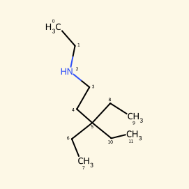 CCNCCC(CC)(CC)CC